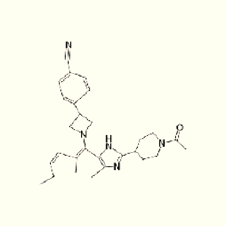 CC/C=C\C(C)=C(\c1[nH]c(C2CCN(C(C)=O)CC2)nc1C)N1CC(c2ccc(C#N)cc2)C1